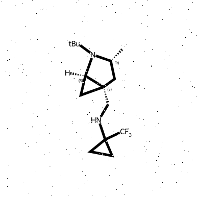 C[C@@H]1C[C@@]2(CNC3(C(F)(F)F)CC3)C[C@H]2N1C(C)(C)C